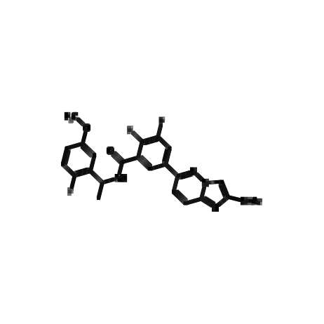 CC(=O)Nc1cn2nc(-c3cc(F)c(F)c(C(=O)NC(C)c4cc(OC(F)(F)F)ccc4F)c3)ccc2n1